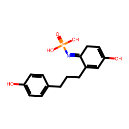 O=P(O)(O)N=C1CC=C(O)C=C1CCCc1ccc(O)cc1